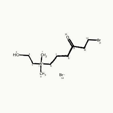 C[N+](C)(CCO)CCCC(=O)CCBr.[Br-]